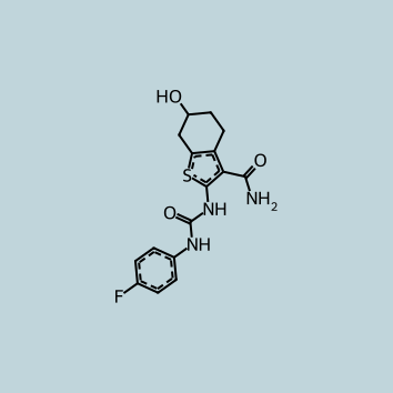 NC(=O)c1c(NC(=O)Nc2ccc(F)cc2)sc2c1CCC(O)C2